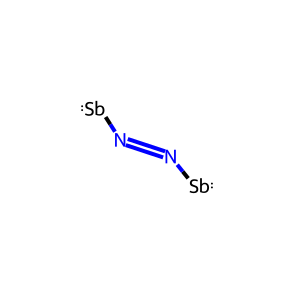 [Sb][N]=[N][Sb]